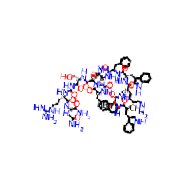 CCCC[C@@H](NC(=O)[C@@H](C)Cc1c[nH]c2ccccc12)C(=O)NC[C@@H](CCCCN)C(=O)N[C@@H](Cc1c[nH]c2ccccc12)C(=O)NC(Cc1ccccc1)C(=O)N[C@@H](SC(=O)N[C@@H](Cc1ccc2ccccc2c1)C(=O)N[C@@H](CCC)C(=O)N[C@@H](CO)C(=O)NC(=O)N[C@@H](CCCNC(=N)N)C(=O)N[C@@H](CC(N)=O)C(N)=O)C(N)=O